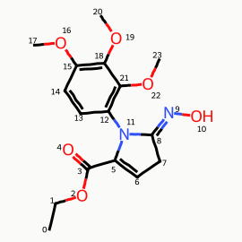 CCOC(=O)C1=CCC(=NO)N1c1ccc(OC)c(OC)c1OC